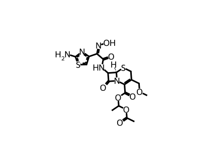 COCC1=C(C(=O)OC(C)OC(C)=O)N2C(=O)C(NC(=O)/C(=N\O)c3csc(N)n3)[C@H]2SC1